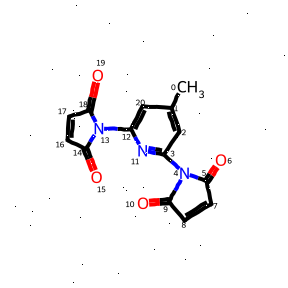 Cc1cc(N2C(=O)C=CC2=O)nc(N2C(=O)C=CC2=O)c1